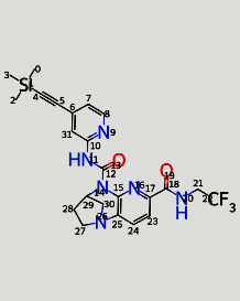 C[Si](C)(C)C#Cc1ccnc(NC(=O)N2c3nc(C(=O)NCC(F)(F)F)ccc3N3CCC2C3)c1